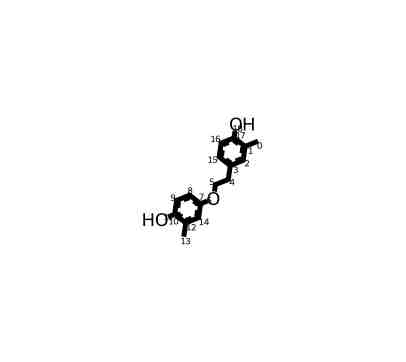 Cc1cc(CCOc2ccc(O)c(C)c2)ccc1O